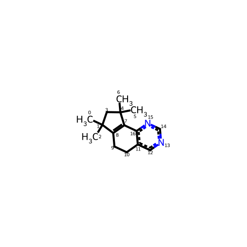 CC1(C)CC(C)(C)C2=C1CCc1cncnc12